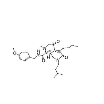 CCCC[C@H]1C(=O)N(CCC(C)C)C[C@H]2N1C(=O)CN(C)N2C(=O)NCc1ccc(OC)cc1